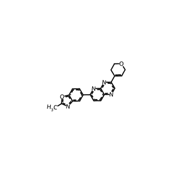 Cc1nc2cc(-c3ccc4ncc(C5=CCOCC5)nc4n3)ccc2o1